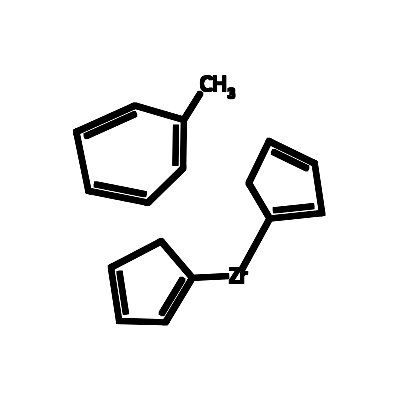 C1=CC[C]([Zr][C]2=CC=CC2)=C1.Cc1ccccc1